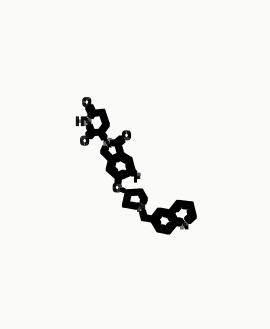 O=C1CCC(N2Cc3cc(O[C@H]4CCN(Cc5ccc6ncccc6c5)C4)c(F)cc3C2=O)C(=O)N1